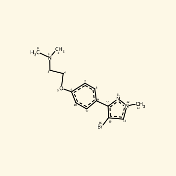 CN(C)CCOc1ccc(-c2nn(C)cc2Br)cc1